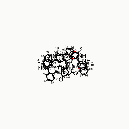 C[C@H](NC(=O)c1ccccc1[C@@H]1N2C(=O)CCC(=O)N2[C@@H](c2ccccc2[C@@H]2N3C(=O)CCC(=O)N3[C@@H](c3ccccc3C(=O)N[C@@H](C)c3ccccc3)P2c2ccccc2C(=O)N[C@@H](C)c2ccccc2)P1c1ccccc1C(=O)N[C@@H](C)c1ccccc1)c1ccccc1